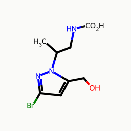 CC(CNC(=O)O)n1nc(Br)cc1CO